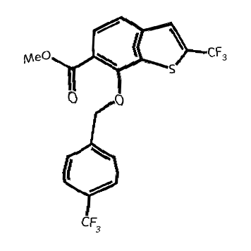 COC(=O)c1ccc2cc(C(F)(F)F)sc2c1OCc1ccc(C(F)(F)F)cc1